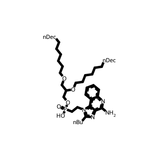 CCCCCCCCCCCCCCCCOCC(COP(=O)(O)CCn1c(CCCC)nc2c(N)nc3ccccc3c21)OCCCCCCCCCCCCCCCC